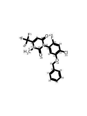 Cn1c(C(F)(F)F)cc(=O)n(-c2cc(OCc3ccccc3)c(Cl)cc2F)c1=O